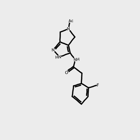 CC(=O)N1Cc2n[nH]c(NC(=O)Cc3ccccc3F)c2C1